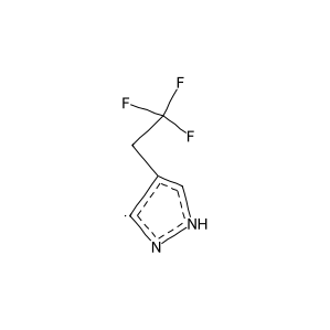 FC(F)(F)Cc1[c]n[nH]c1